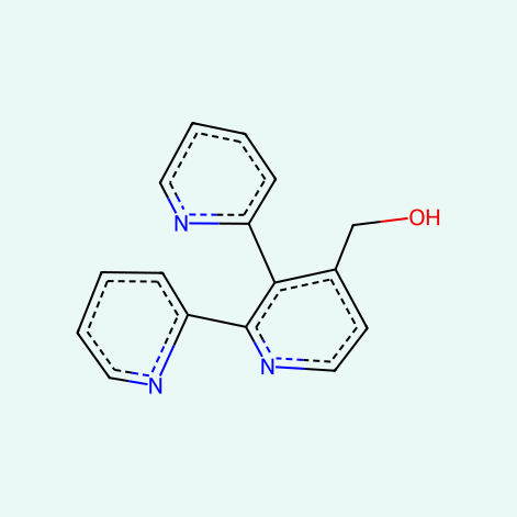 OCc1ccnc(-c2ccccn2)c1-c1ccccn1